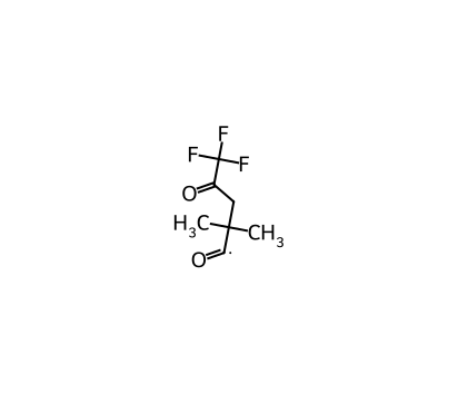 CC(C)([C]=O)CC(=O)C(F)(F)F